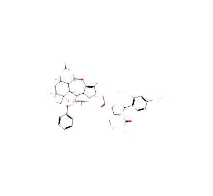 CCC1O[C@H]2C[C@H]3OC[C@@]3(OC(C)=O)[C@H]3[C@H](OC(=O)c4ccccc4)[C@]4(C(C)(C)O)C[C@H](CC(=O)[C@@H]5OC(c6ccc(OC)cc6OC)N(C(=O)OC(C)(C)C)[C@H]5CC(C)C)C(C)=C4[C@H](O)[C@H](O1)[C@]23C